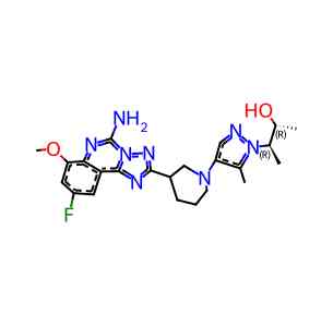 COc1cc(F)cc2c1nc(N)n1nc(C3CCCN(c4cnn([C@H](C)[C@@H](C)O)c4C)C3)nc21